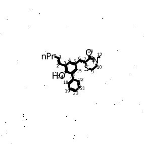 CCCC=Cc1cc(C=C2SCCN(C)C2=O)cc(-c2ccccc2)c1O